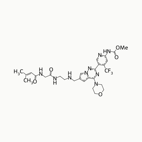 COC(=O)Nc1cc(C(F)(F)F)c(-c2nc(N3CCOCC3)c3cc(CNCCNC(=O)CNC(=O)C=C(C)C)cn3n2)cn1